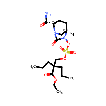 CCCC(CCC)(COS(=O)(=O)ON1C(=O)N2C[C@H]1CC[C@H]2C(N)=O)C(=O)OCC